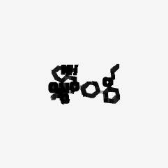 CCCOc1ccccc1[C@H]1CC[C@@H](OC[C@@H]2NCCC[C@@H]2NS(C)(=O)=O)CC1